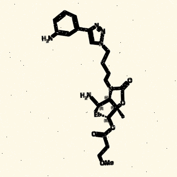 CC[C@@H](OC(=O)CCOC)[C@@]1(C)OC(=O)N(CCCCn2cc(-c3cccc(N)c3)nn2)[C@@H]1[C@@H](C)N